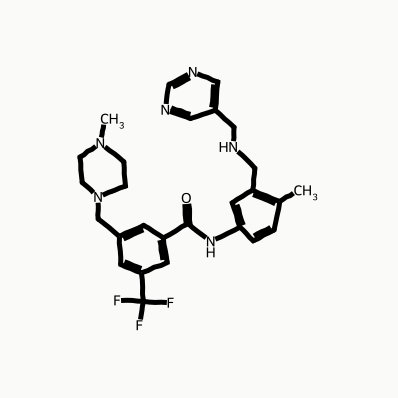 Cc1ccc(NC(=O)c2cc(CN3CCN(C)CC3)cc(C(F)(F)F)c2)cc1CNCc1cncnc1